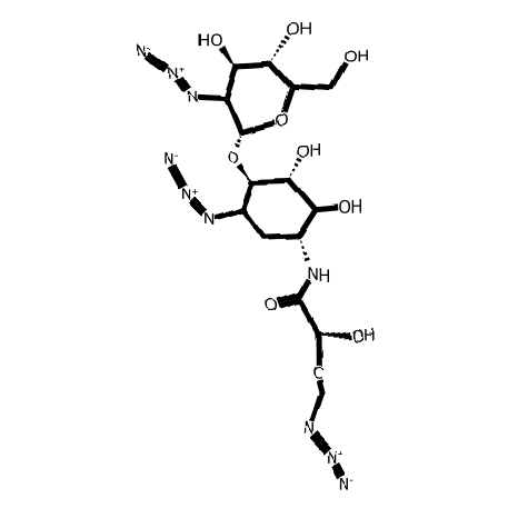 [N-]=[N+]=NCC[C@H](O)C(=O)N[C@@H]1CC(N=[N+]=[N-])[C@@H](O[C@H]2OC(CO)[C@@H](O)[C@H](O)C2N=[N+]=[N-])[C@H](O)C1O